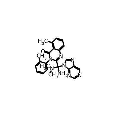 Cc1ccccc1-n1c(C(N)(N(C)C)n2cnc3cncnc32)nc2cccc(C)c2c1=O